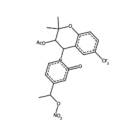 CC(=O)OC1C(n2ccc(C(C)O[N+](=O)[O-])cc2=O)c2cc(C(F)(F)F)ccc2OC1(C)C